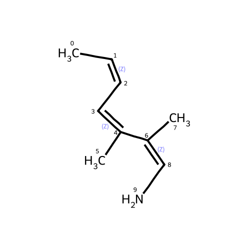 C\C=C/C=C(C)\C(C)=C/N